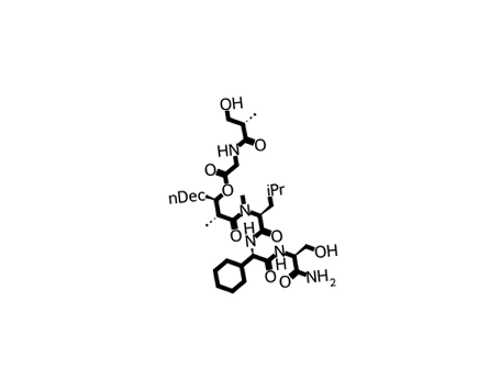 CCCCCCCCCC[C@@H](OC(=O)CNC(=O)[C@@H](C)CO)[C@@H](C)C(=O)N(C)[C@@H](CC(C)C)C(=O)N[C@H](C(=O)N[C@@H](CO)C(N)=O)C1CCCCC1